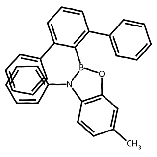 Cc1ccc2c(c1)OB(c1c(-c3ccccc3)cccc1-c1ccccc1)N2c1ccccc1